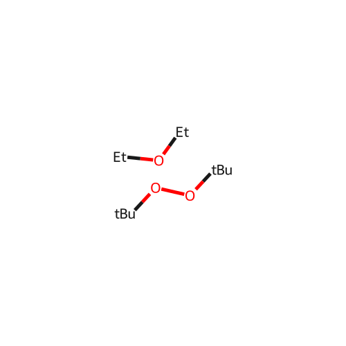 CC(C)(C)OOC(C)(C)C.CCOCC